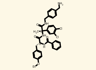 CCOc1ccc(C[C@@H](NC(=O)c2ccccc2)C(=O)N[C@](C)(C(=O)NCc2ccc(CN)cc2)c2ccc(Cl)c(Cl)c2)cc1